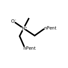 CCCCCC[N+](C)([O-])CCCCCC